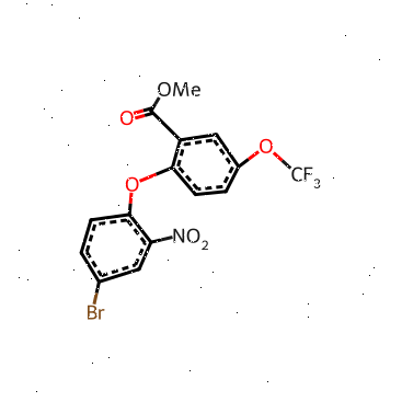 COC(=O)c1cc(OC(F)(F)F)ccc1Oc1ccc(Br)cc1[N+](=O)[O-]